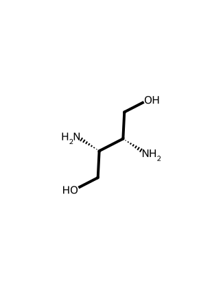 N[C@@H](CO)[C@@H](N)CO